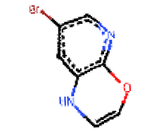 Brc1cnc2c(c1)NC=CO2